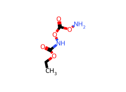 CCOC(=O)NOC(=O)ON